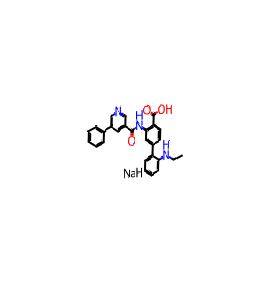 CCNc1ccccc1-c1ccc(C(=O)O)c(NC(=O)c2cncc(-c3ccccc3)c2)c1.[NaH]